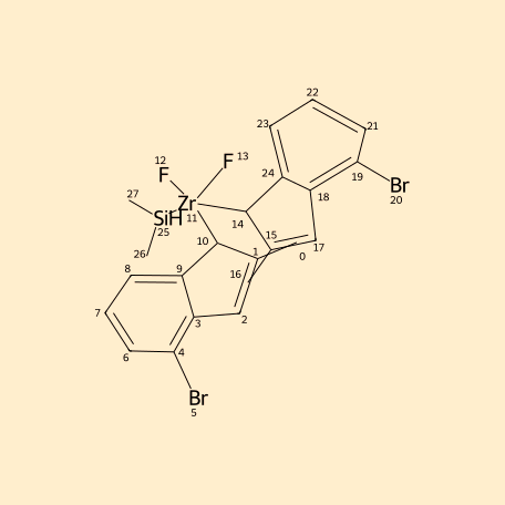 CC1=Cc2c(Br)cccc2[CH]1[Zr]([F])([F])([CH]1C(C)=Cc2c(Br)cccc21)[SiH](C)C